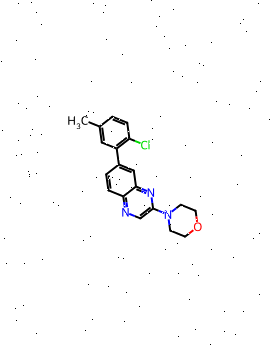 Cc1ccc(Cl)c(-c2ccc3ncc(N4CCOCC4)nc3c2)c1